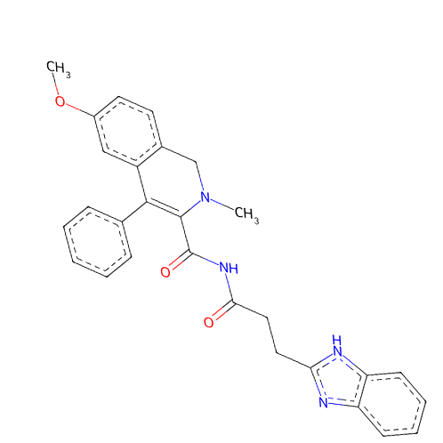 COc1ccc2c(c1)C(c1ccccc1)=C(C(=O)NC(=O)CCc1nc3ccccc3[nH]1)N(C)C2